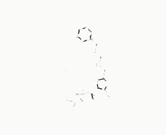 Cc1sc(CNCCCc2ccccc2)nc1C(=O)NS(=O)(=O)N(C)C.Cl